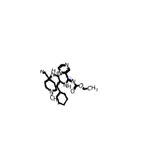 CCOC(=O)/N=C(\NC(CC1CCCCC1)C(=O)NC1(C#N)CCN(C)CC1)c1cnccn1